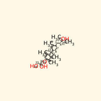 CCC(O)(C=Cc1ccc(C(CC)(CC)c2ccc(OCC(O)CO)c(C)c2)cc1C)CC